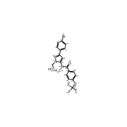 CCn1nc(-c2ccc(Br)cc2)cc1N(C)C(=O)c1ccc(OC(F)(F)F)cc1